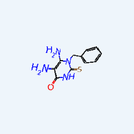 Nc1c(N)n(Cc2ccccc2)c(=S)[nH]c1=O